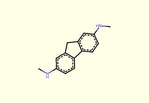 CNc1ccc2c(c1)[CH]c1cc(NC)ccc1-2